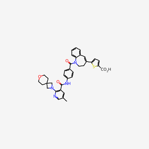 Cc1cnc(N2CC3(CCOCC3)C2)c(C(=O)Nc2ccc(C(=O)N3CCC(c4ccc(C(=O)O)s4)=Cc4ccccc43)cc2)c1